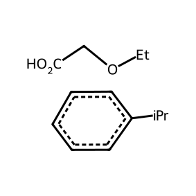 CC(C)c1ccccc1.CCOCC(=O)O